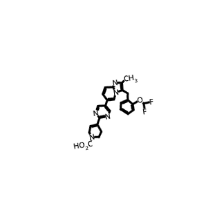 Cc1nc2ccc(-c3cnc(C4=CCN(C(=O)O)CC4)nc3)cn2c1Cc1ccccc1OC(F)F